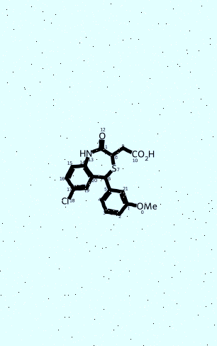 COc1cccc(C2SC(CC(=O)O)C(=O)Nc3ccc(Cl)cc32)c1